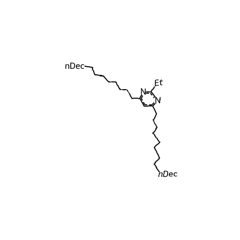 [CH2]Cc1nc(CCCCCCCCCCCCCCCCCC)cc(CCCCCCCCCCCCCCCCCC)n1